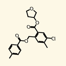 Cc1ccc(C(=O)OCc2cc(C)c(Cl)cc2C(=O)OC2CCOC2)cc1